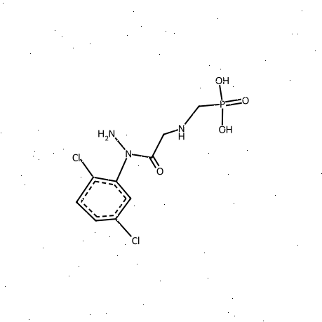 NN(C(=O)CNCP(=O)(O)O)c1cc(Cl)ccc1Cl